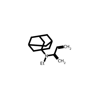 C=CC(=C)N(CC)C12CC3CC(CC(C3)C1)C2